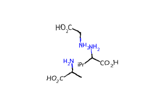 CC(C)C(N)C(=O)O.CC(N)C(=O)O.NCC(=O)O